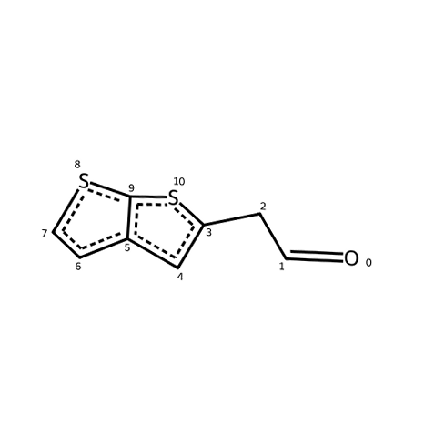 O=CCc1cc2ccsc2s1